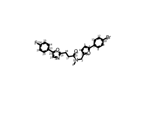 CN(Cc1ccc(-c2ccc(Br)cc2)o1)C(=O)CCc1ncc(-c2ccc(F)cc2)o1